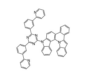 c1ccc(-c2cccc(-c3nc(-c4cccc(-c5ccccn5)c4)nc(-n4c5ccccc5c5c4ccc4c6ccccc6c6cc7ccccc7n6c45)n3)c2)nc1